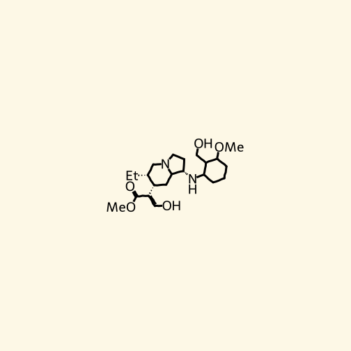 CC[C@@H]1CN2CC[C@H](NC3CCCC(OC)C3CO)C2C[C@@H]1/C(=C\O)C(=O)OC